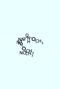 Cc1ccc(CNC(=O)C2CN(c3ncnn4cc(-c5ccc(C(C)(C)C#N)cc5)cc34)C2)cc1